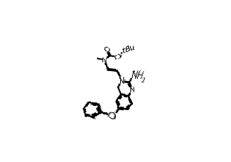 CN(CCN1Cc2cc(Oc3ccccc3)ccc2N=C1N)C(=O)OC(C)(C)C